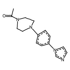 CC(=O)N1CCN(c2ccc(-n3ccnc3)cc2)CC1